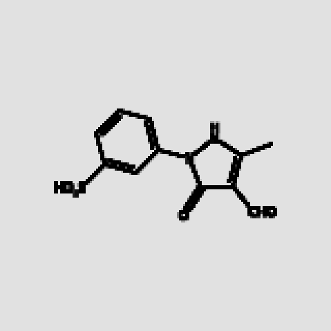 Cc1[nH]n(-c2cccc(S(=O)(=O)O)c2)c(=O)c1C=O